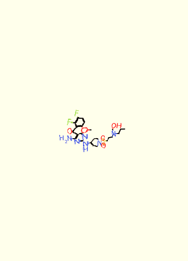 CCCN(CO)CCCS(=O)(=O)N1CCC(Nc2ncc(C(=O)c3c(OC)ccc(F)c3F)c(N)n2)CC1